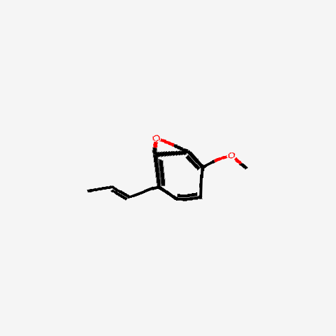 CC=Cc1ccc(OC)c2c1O2